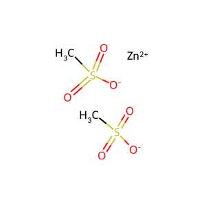 CS(=O)(=O)[O-].CS(=O)(=O)[O-].[Zn+2]